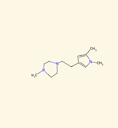 Cc1cc(CCN2CCN(C)CC2)cn1C